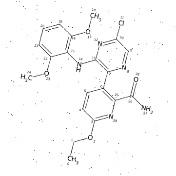 CCOc1ccc(-c2ncc(Cl)nc2Nc2c(OC)cccc2OC)c(C(N)=O)n1